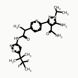 CC(C(=O)Nc1cc(C(C)(C)C(C)(F)F)on1)c1ccc(-c2nn(C(C)C)c(N)c2C(N)=O)nc1